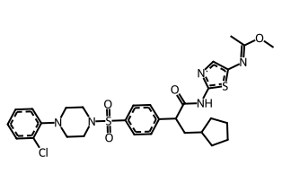 CO/C(C)=N/c1cnc(NC(=O)C(CC2CCCC2)c2ccc(S(=O)(=O)N3CCN(c4ccccc4Cl)CC3)cc2)s1